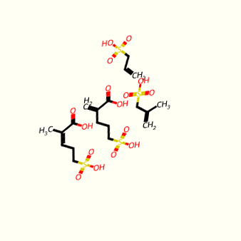 C=C(C)CS(=O)(=O)O.C=C(CCCS(=O)(=O)O)C(=O)O.C=CCS(=O)(=O)O.CC(=CCCS(=O)(=O)O)C(=O)O